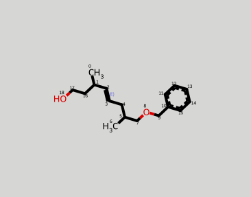 CC(/C=C/CC(C)COCc1ccccc1)CCO